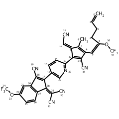 C=CCC/C(=C\C1=C(C)C(=C\C#N)/C(c2ccc(C3=C(C#N)c4cc(OC(F)(F)F)ccc4C3=C(C#N)C#N)cn2)=C1C#N)OC(F)(F)F